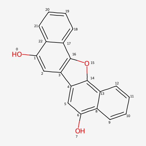 Oc1cc2c3cc(O)c4ccccc4c3oc2c2ccccc12